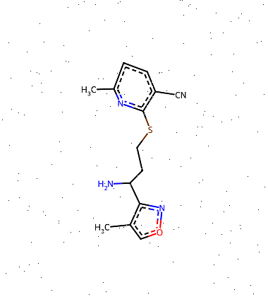 Cc1ccc(C#N)c(SCCC(N)c2nocc2C)n1